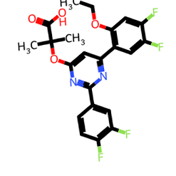 CCOc1cc(F)c(F)cc1-c1cc(OC(C)(C)C(=O)O)nc(-c2ccc(F)c(F)c2)n1